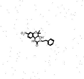 CC1(C)Oc2cc([N+](=O)[O-])ccc2C(NC(=O)OCCc2ccccc2)C1O